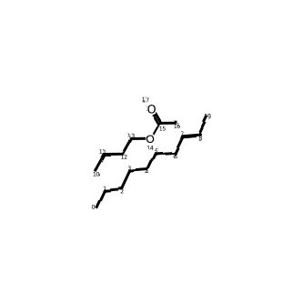 CCCCCCCCCC.CCCCOC(C)=O